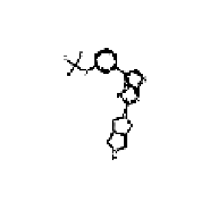 FC(F)(F)Oc1cccc(-c2cnc3sc(N4CC5CNCC5C4)nn23)c1